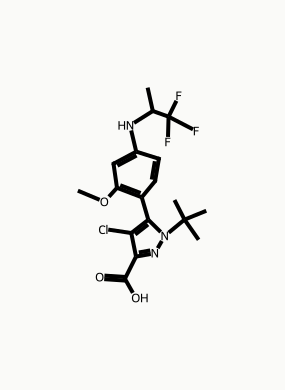 COc1cc(NC(C)C(F)(F)F)ccc1-c1c(Cl)c(C(=O)O)nn1C(C)(C)C